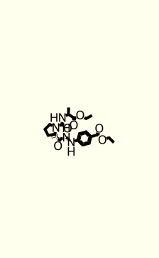 CCOC(=O)c1ccc(NNC(=O)[C@@H]2CCCN2C(=O)NC(C)C(=O)OCC)cc1